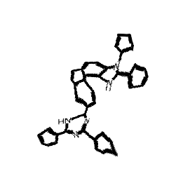 c1ccc(C2=NC(c3ccc4c(ccc5ccc6c(c54)NC(c4ccccc4)N6c4ccccc4)c3)NC(c3ccccc3)=N2)cc1